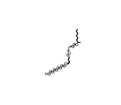 CCCCCCC(C)OOOC=C=COOCC/C=C\OOOOOOOOOO